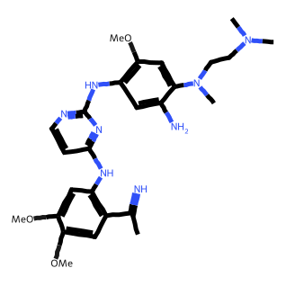 COc1cc(N(C)CCN(C)C)c(N)cc1Nc1nccc(Nc2cc(OC)c(OC)cc2C(C)=N)n1